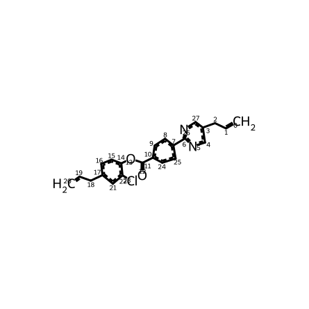 C=CCc1cnc(-c2ccc(C(=O)Oc3ccc(CC=C)cc3Cl)cc2)nc1